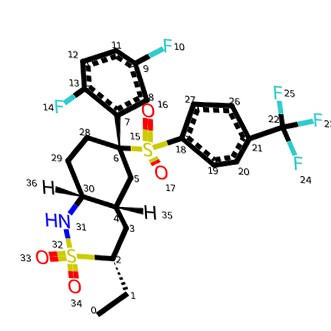 CC[C@H]1C[C@H]2C[C@@](c3cc(F)ccc3F)(S(=O)(=O)c3ccc(C(F)(F)F)cc3)CC[C@H]2NS1(=O)=O